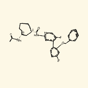 CC(=O)N[C@@H]1CCC[C@H](C(=O)Nc2cc(-c3ccc(F)cc3OCc3ccccc3)c(F)cn2)C1